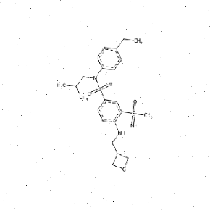 CCc1ccc(N(CC(C)C)S(=O)(=O)c2ccc(NCC3COC3)c(S(C)(=N)=O)c2)cc1